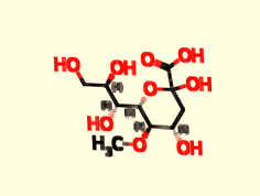 CO[C@H]1[C@H]([C@H](O)[C@H](O)CO)OC(O)(C(=O)O)C[C@@H]1O